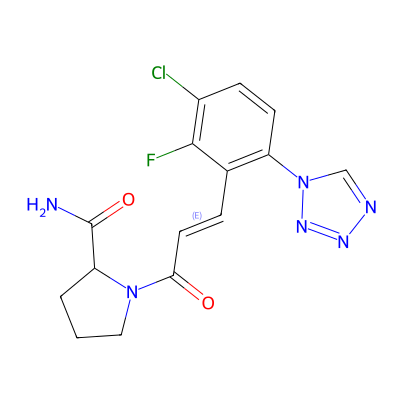 NC(=O)C1CCCN1C(=O)/C=C/c1c(-n2cnnn2)ccc(Cl)c1F